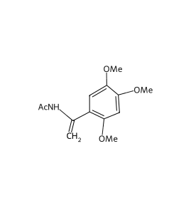 C=C(NC(C)=O)c1cc(OC)c(OC)cc1OC